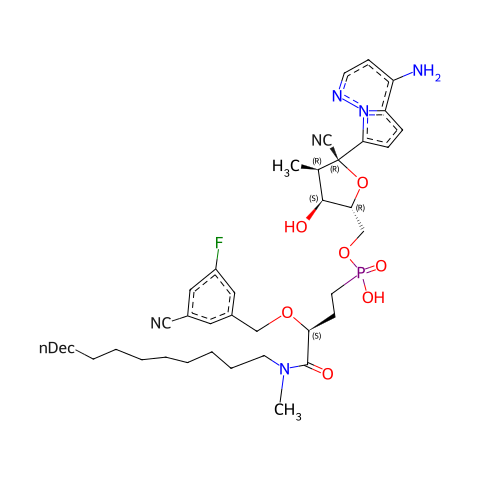 CCCCCCCCCCCCCCCCCCN(C)C(=O)[C@H](CCP(=O)(O)OC[C@H]1O[C@@](C#N)(c2ccc3c(N)ccnn23)[C@H](C)[C@@H]1O)OCc1cc(F)cc(C#N)c1